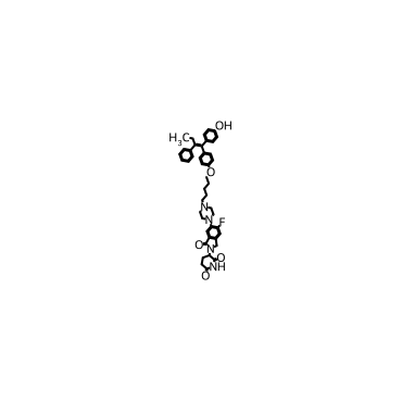 CCC(=C(c1ccc(O)cc1)c1ccc(OCCCCCN2CCN(c3cc4c(cc3F)CN(C3CCC(=O)NC3=O)C4=O)CC2)cc1)c1ccccc1